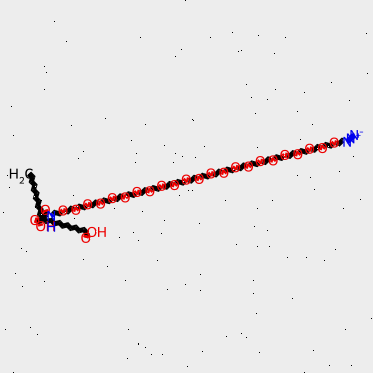 C=CCCCCCCCCCC(CCCCCCCCCCC(=O)O)(C(=O)O)C(=O)NCCOCCOCCOCCOCCOCCOCCOCCOCCOCCOCCOCCOCCOCCOCCOCCOCCOCCOCCOCCOCCOCCOCCOCCN=[N+]=[N-]